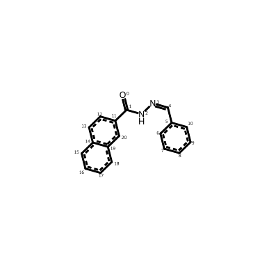 O=C(N/N=C\c1ccccc1)c1ccc2ccccc2c1